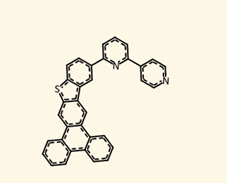 c1cc(-c2ccncc2)nc(-c2ccc3sc4cc5c6ccccc6c6ccccc6c5cc4c3c2)c1